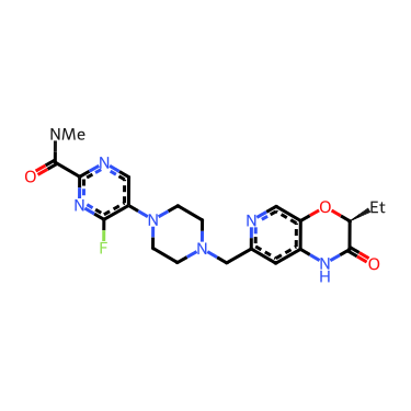 CC[C@@H]1Oc2cnc(CN3CCN(c4cnc(C(=O)NC)nc4F)CC3)cc2NC1=O